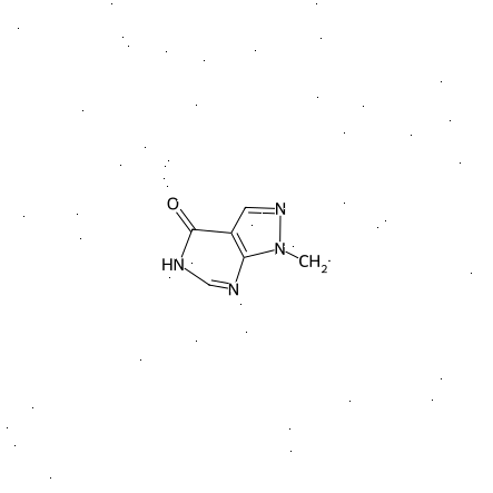 [CH2]n1ncc2c(=O)[nH]cnc21